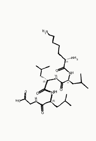 CC(C)C[C@H](NC(=O)[C@H](CC(C)C)NC(=O)[C@H](CC(C)C)NC(=O)[C@@H](N)CCCCN)C(=O)NCC(=O)O